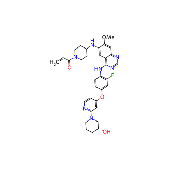 C=CC(=O)N1CCC(Nc2cc3c(Nc4ccc(Oc5ccnc(N6CCC[C@@H](O)C6)c5)cc4F)ncnc3cc2OC)CC1